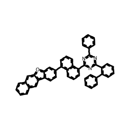 c1ccc(-c2nc(-c3ccccc3-c3ccccc3)nc(-c3cccc4c(-c5ccc6c(c5)oc5cc7ccccc7cc56)cccc34)n2)cc1